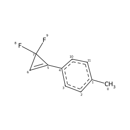 Cc1ccc(C2=CC2(F)F)cc1